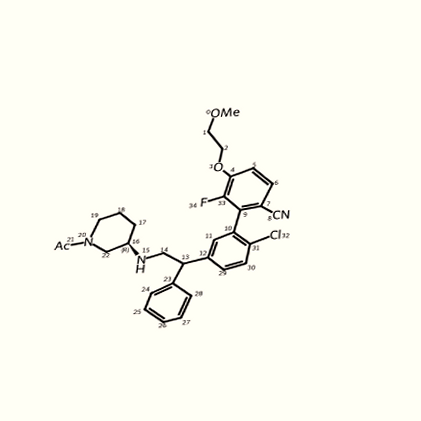 COCCOc1ccc(C#N)c(-c2cc(C(CN[C@@H]3CCCN(C(C)=O)C3)c3ccccc3)ccc2Cl)c1F